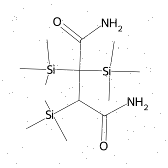 C[Si](C)(C)C(C(N)=O)C(C(N)=O)([Si](C)(C)C)[Si](C)(C)C